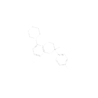 CC1(c2ccc(Cl)cc2)COc2c(cccc2N2CCCCC2)O1.Cl